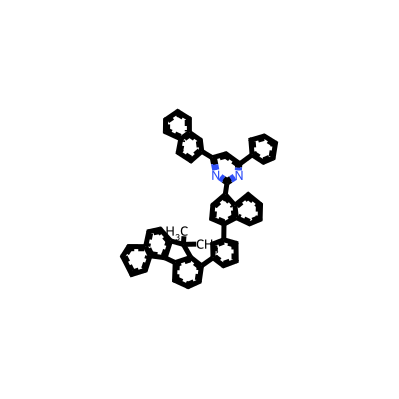 CC1(C)c2ccc3ccccc3c2-c2cccc(-c3cccc(-c4ccc(-c5nc(-c6ccccc6)cc(-c6ccc7ccccc7c6)n5)c5ccccc45)c3)c21